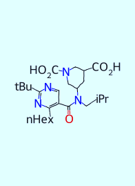 CCCCCCc1nc(C(C)(C)C)ncc1C(=O)N(CC(C)C)C1CC(C(=O)O)CN(C(=O)O)C1